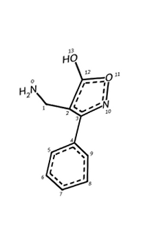 NCc1c(-c2ccccc2)noc1O